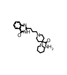 NC(=O)C1(N2CCCCC2)CCN(CCCc2nc3ccccc3c(=O)[nH]2)CC1